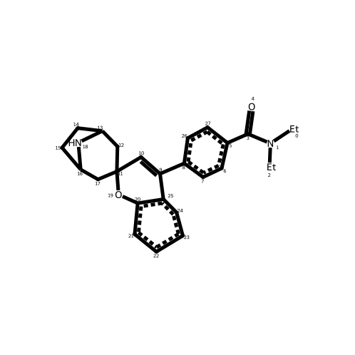 CCN(CC)C(=O)c1ccc(C2=CC3(CC4CCC(C3)N4)Oc3ccccc32)cc1